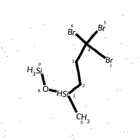 C[SiH](CCC(Br)(Br)Br)O[SiH3]